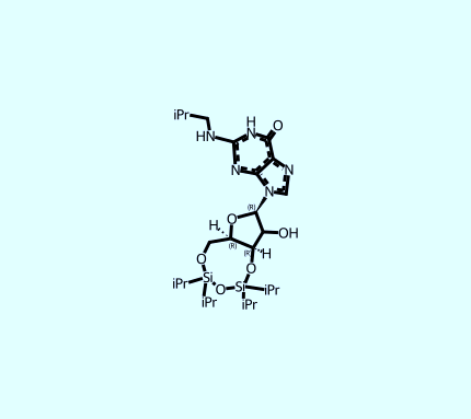 CC(C)CNc1nc2c(ncn2[C@@H]2O[C@@H]3CO[Si](C(C)C)(C(C)C)O[Si](C(C)C)(C(C)C)O[C@@H]3C2O)c(=O)[nH]1